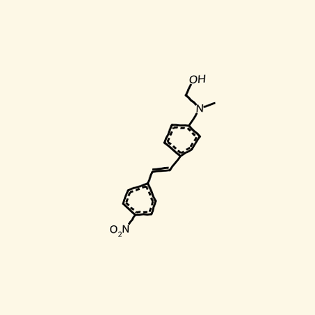 CN(CO)c1ccc(C=Cc2ccc([N+](=O)[O-])cc2)cc1